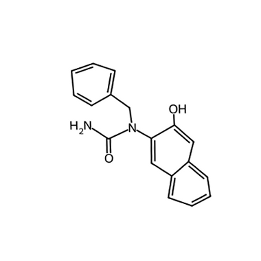 NC(=O)N(Cc1ccccc1)c1cc2ccccc2cc1O